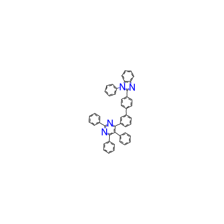 c1ccc(-c2nc(-c3ccccc3)c(-c3ccccc3)c(-c3cccc(-c4ccc(-c5nc6ccccc6n5-c5ccccc5)cc4)c3)n2)cc1